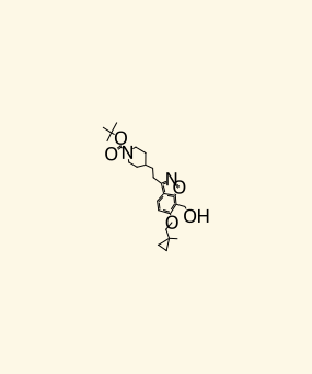 CC1(COc2ccc3c(CCC4CCN(C(=O)OC(C)(C)C)CC4)noc3c2CO)CC1